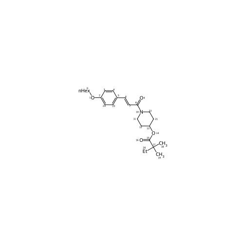 CCCCCCOc1ccc(/C=C/C(=O)N2CCC(OC(=O)C(C)(C)CC)CC2)cc1